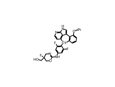 CC(C)Oc1cccc(F)c1-c1c[nH]c2nccc(Oc3c(F)cc(NC4=NC[C@@](F)(CO)CO4)cc3F)c12